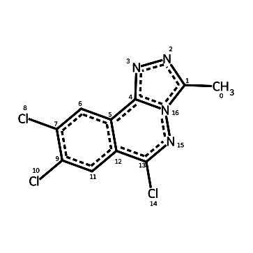 Cc1nnc2c3cc(Cl)c(Cl)cc3c(Cl)nn12